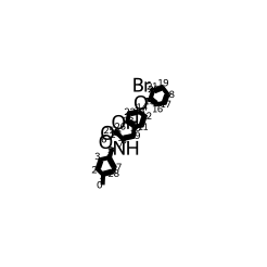 Cc1ccc(C(=O)NC(=Cc2ccc(Oc3ccccc3Br)cc2)C(=O)O)cc1